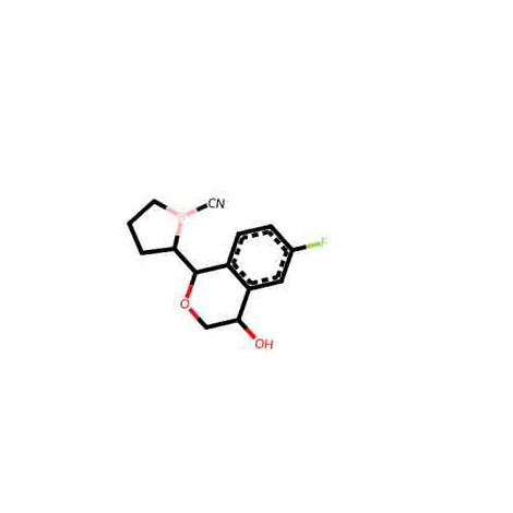 N#CB1CCCC1C1OCC(O)c2cc(F)ccc21